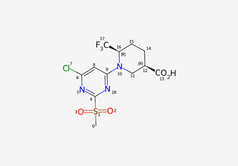 CS(=O)(=O)c1nc(Cl)cc(N2C[C@H](C(=O)O)CC[C@@H]2C(F)(F)F)n1